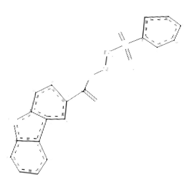 O=C(ONNS(=O)(=O)c1ccccc1)c1ccc2oc3ccccc3c2c1